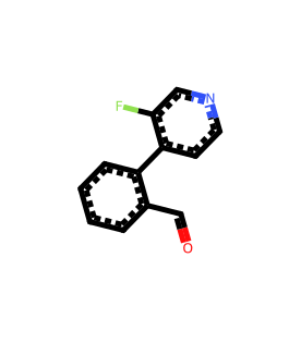 O=Cc1ccccc1-c1ccncc1F